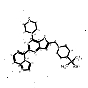 CC(C)(O)C1CCN(Cc2cc3nc(-c4cccc5nccn45)nc(N4CCOCC4)c3o2)CC1